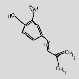 C=C(C)/C=C/c1ccc(O)c(O)c1